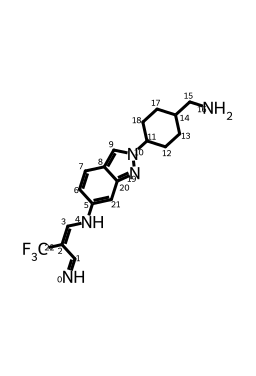 N=C/C(=C\Nc1ccc2cn(C3CCC(CN)CC3)nc2c1)C(F)(F)F